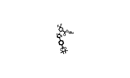 CC(C)(C)OC(=O)N1CC(F)(F)C[C@H]1c1nc(-c2ccc(B3OC(C)(C)C(C)(C)O3)cc2)cs1